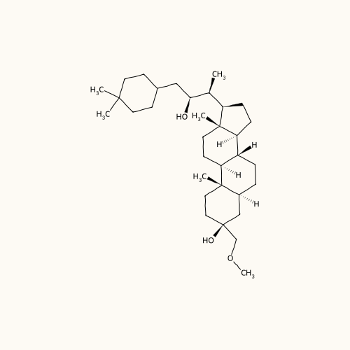 COC[C@]1(O)CC[C@@]2(C)[C@@H](CC[C@@H]3[C@@H]2CC[C@]2(C)[C@@H]([C@H](C)[C@@H](O)CC4CCC(C)(C)CC4)CC[C@@H]32)C1